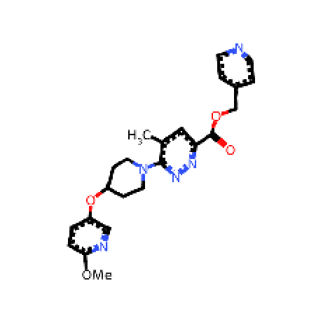 COc1ccc(OC2CCN(c3nnc(C(=O)OCc4ccncc4)cc3C)CC2)cn1